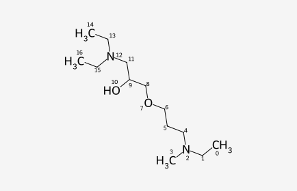 CCN(C)CCCOCC(O)CN(CC)CC